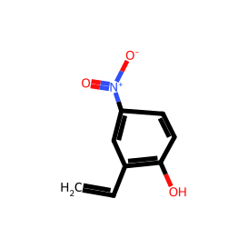 C=Cc1cc([N+](=O)[O-])ccc1O